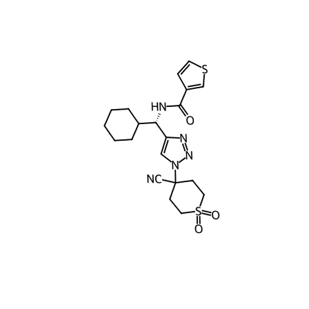 N#CC1(n2cc([C@@H](NC(=O)c3ccsc3)C3CCCCC3)nn2)CCS(=O)(=O)CC1